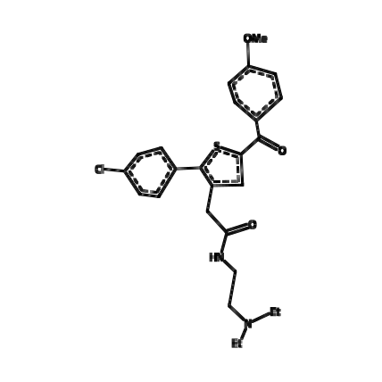 CCN(CC)CCNC(=O)Cc1cc(C(=O)c2ccc(OC)cc2)sc1-c1ccc(Cl)cc1